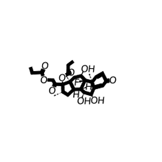 CCC(=O)OCC(=O)[C@]1(OC(=O)CC)[C@@H](C)C[C@H]2[C@@H]3[C@@H](O)[C@@H](O)C4=CC(=O)C=C[C@]4(C)[C@@]3(F)[C@@H](O)C[C@@]21C